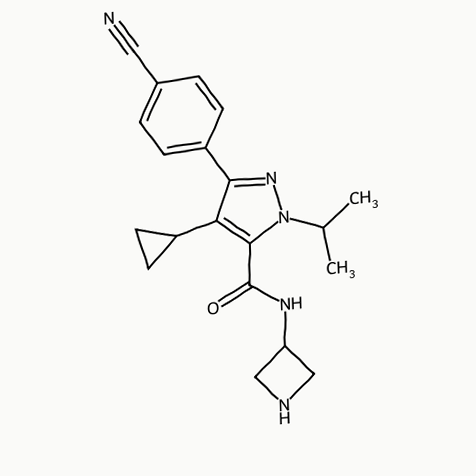 CC(C)n1nc(-c2ccc(C#N)cc2)c(C2CC2)c1C(=O)NC1CNC1